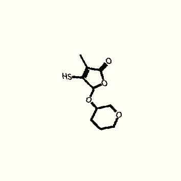 CC1=C(S)C(OC2CCCOC2)OC1=O